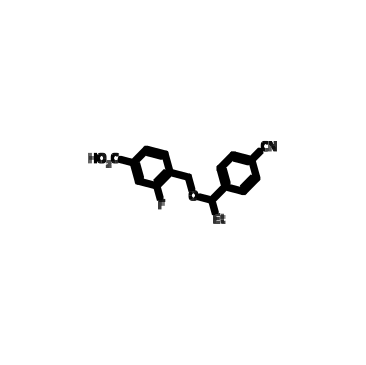 CCC(OCc1ccc(C(=O)O)cc1F)c1ccc(C#N)cc1